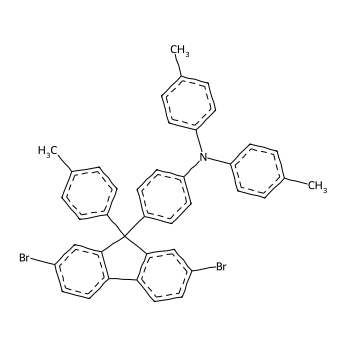 Cc1ccc(N(c2ccc(C)cc2)c2ccc(C3(c4ccc(C)cc4)c4cc(Br)ccc4-c4ccc(Br)cc43)cc2)cc1